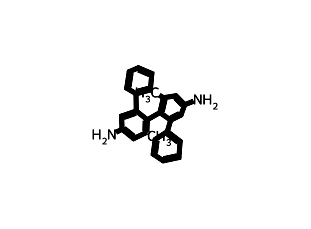 Cc1cc(N)cc(-c2ccccc2)c1-c1c(C)cc(N)cc1-c1ccccc1